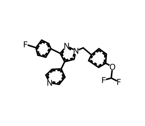 Fc1ccc(-c2nn(Cc3ccc(OC(F)F)cc3)cc2-c2ccncc2)cc1